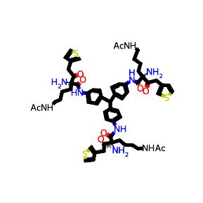 CC(=O)NCCCC[C@@](N)(C(=O)Cc1ccsc1)C(=O)Nc1ccc(C(c2ccc(NC(=O)[C@@](N)(CCCCNC(C)=O)C(=O)Cc3ccsc3)cc2)c2ccc(NC(=O)[C@@](N)(CCCCNC(C)=O)C(=O)Cc3ccsc3)cc2)cc1